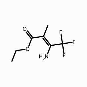 CCOC(=O)C(C)=C(N)C(F)(F)F